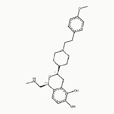 CNC[C@H]1O[C@@H](C2CCN(CCc3ccc(OC)cc3)CC2)Cc2c1ccc(O)c2O